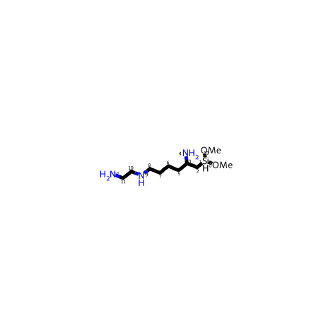 CO[SiH](CC(N)CCCCNCCN)OC